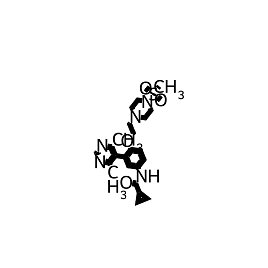 Cc1ncnc(C)c1-c1cc(NC(=O)C2CC2)ccc1OCCN1CCN(S(C)(=O)=O)CC1